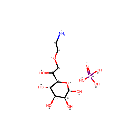 NCCOCC(O)[C@H]1O[C@@H](O)[C@@H](O)[C@@H](O)[C@@H]1O.O=P(O)(O)O